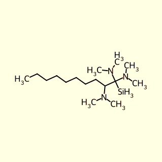 CCCCCCCCC(N(C)C)C([SiH3])(N(C)C)N(C)C